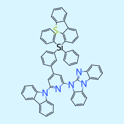 c1ccc([Si](c2ccccc2)(c2cccc(-c3cc(-n4c5ccccc5c5ccccc54)nc(-n4c5ccccc5n5c6ccccc6nc45)c3)c2)c2cccc3c2sc2ccccc23)cc1